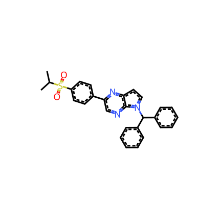 CC(C)S(=O)(=O)c1ccc(-c2cnc3c(ccn3C(c3ccccc3)c3ccccc3)n2)cc1